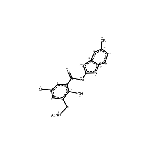 CC(=O)NCc1cc(Cl)cc(C(=O)Nc2nc3ccc(C(F)(F)F)cc3s2)c1O